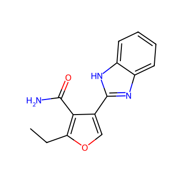 CCc1occ(-c2nc3ccccc3[nH]2)c1C(N)=O